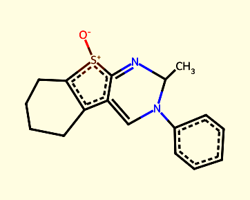 CC1N=c2c(c3c([s+]2[O-])CCCC3)=CN1c1ccccc1